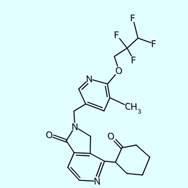 Cc1cc(CN2Cc3c(ccnc3C3CCCCC3=O)C2=O)cnc1OCC(F)(F)C(F)F